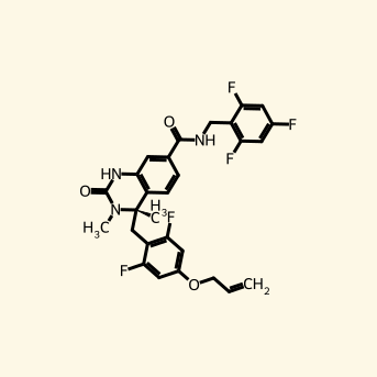 C=CCOc1cc(F)c(C[C@@]2(C)c3ccc(C(=O)NCc4c(F)cc(F)cc4F)cc3NC(=O)N2C)c(F)c1